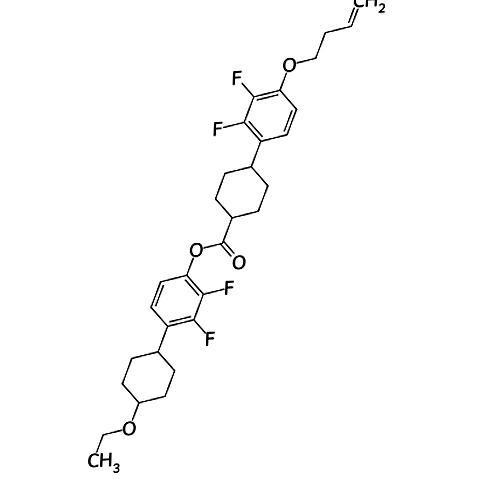 C=CCCOc1ccc(C2CCC(C(=O)Oc3ccc(C4CCC(OCC)CC4)c(F)c3F)CC2)c(F)c1F